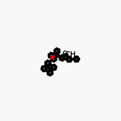 CC1(C)c2cc(-c3ccccc3)ccc2-c2ccc(N(c3ccc(-c4cccc5c4-c4ccccc4C54c5ccccc5-c5ccccc54)cc3)c3ccccc3-c3ccccc3)cc21